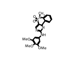 COc1cc(Nc2ncc3c(n2)-c2ccccc2N(C)S3(=O)=O)cc(OC)c1OC